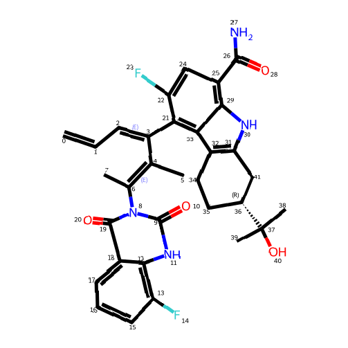 C=C/C=C(\C(C)=C(/C)n1c(=O)[nH]c2c(F)cccc2c1=O)c1c(F)cc(C(N)=O)c2[nH]c3c(c12)CC[C@@H](C(C)(C)O)C3